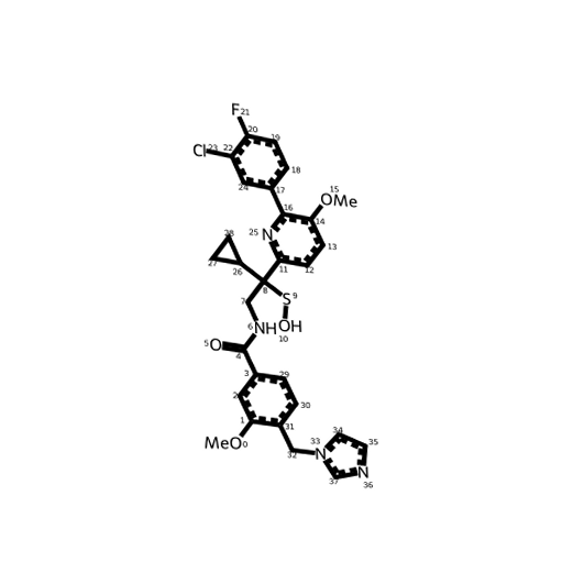 COc1cc(C(=O)NCC(SO)(c2ccc(OC)c(-c3ccc(F)c(Cl)c3)n2)C2CC2)ccc1Cn1ccnc1